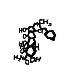 CN(CCc1ccccc1)Cc1cc(O)c2c(c1Cl)CC1C[C@H]3CC(O)=C(C(N)=O)C(=O)[C@@]3(O)C(O)=C1C2=O